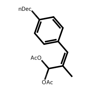 CCCCCCCCCCc1ccc(C=C(C)C(OC(C)=O)OC(C)=O)cc1